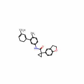 Cc1ccc(NC(=O)C2(c3ccc4c(c3)CCO4)CC2)cc1C1=CC(C(=O)O)=CCC1